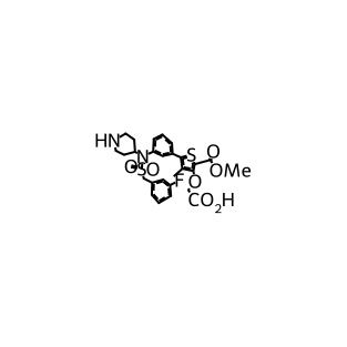 COC(=O)c1sc(-c2cccc(N(C3CCNCC3)S(=O)(=O)Cc3cccc(F)c3)c2)c(C)c1OCC(=O)O